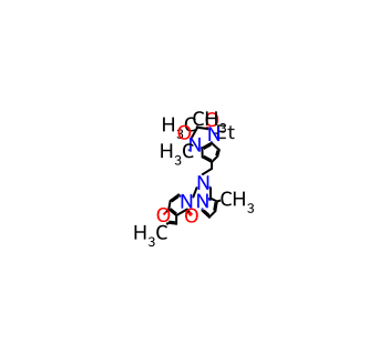 CCN1C(=O)C(C)(C)C(=O)N(C)c2cc(CCN(CCn3ccc4oc(C)cc4c3=O)Cc3ncccc3C)ccc21